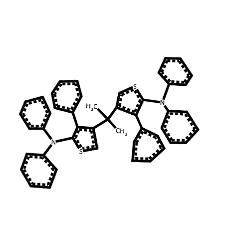 CC(C)(c1csc(N(c2ccccc2)c2ccccc2)c1-c1ccccc1)c1csc(N(c2ccccc2)c2ccccc2)c1-c1ccccc1